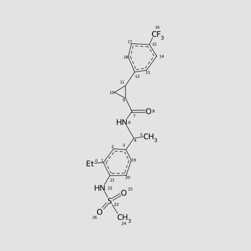 CCc1cc(C(C)NC(=O)C2CC2c2ccc(C(F)(F)F)cc2)ccc1NS(C)(=O)=O